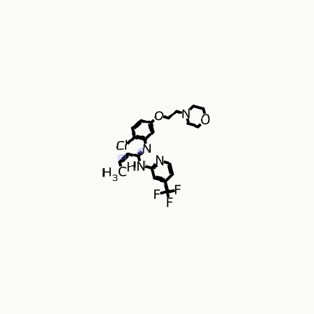 C/C=C\C(=N/c1cc(OCCN2CCOCC2)ccc1Cl)Nc1cc(C(F)(F)F)ccn1